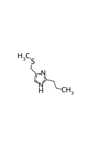 CCCc1nc(CSC)c[nH]1